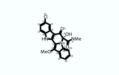 CNC(=O)[C@]1(O)C(=O)c2c([nH]c3ccc(Cl)cc23)-c2c(OC)c3ccccc3n21